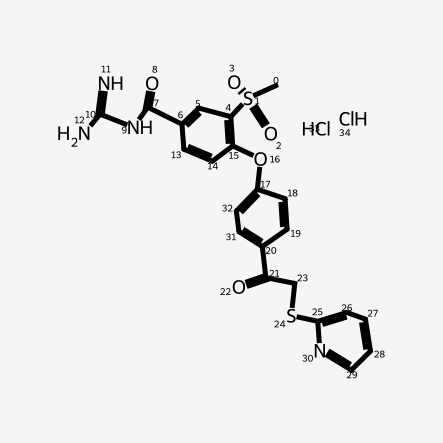 CS(=O)(=O)c1cc(C(=O)NC(=N)N)ccc1Oc1ccc(C(=O)CSc2ccccn2)cc1.Cl.Cl